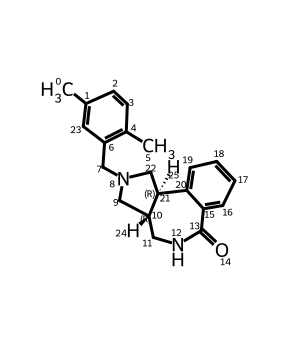 Cc1ccc(C)c(CN2C[C@H]3CNC(=O)c4ccccc4[C@@H]3C2)c1